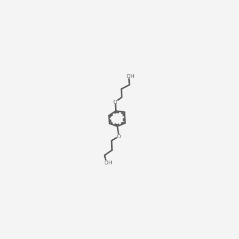 OCCCOc1ccc(OCCCO)cc1